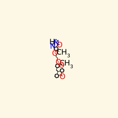 COc1cc(C=C2c3ccccc3C(=O)c3ccccc32)ccc1OCCCCOc1cc2c(cc1C)C(=O)N1CCC[C@H]1C=N2